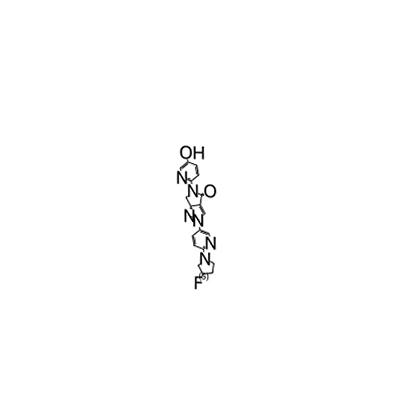 O=C1c2cn(-c3ccc(N4CC[C@H](F)C4)nc3)nc2CN1c1ccc(O)cn1